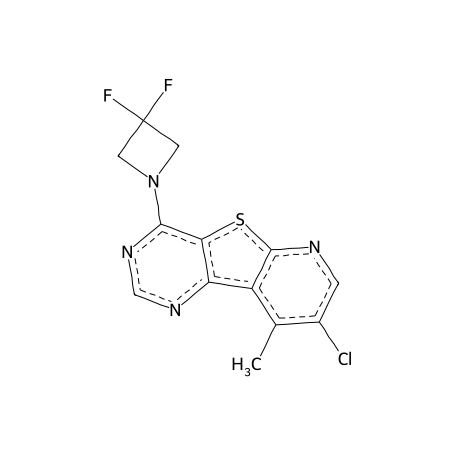 Cc1c(Cl)cnc2sc3c(N4CC(F)(F)C4)ncnc3c12